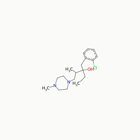 CCC(O)(Cc1ccccc1Cl)C(C)CN1CCN(C)CC1